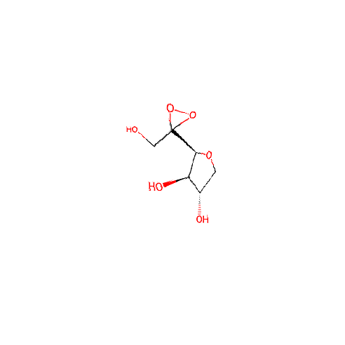 OCC1([C@H]2OC[C@H](O)[C@H]2O)OO1